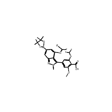 COc1cc(-c2c3c(OC(F)F)cc(B4OC(C)(C)C(C)(C)O4)cc3nn2C)cc(OC(F)F)c1C(=O)O